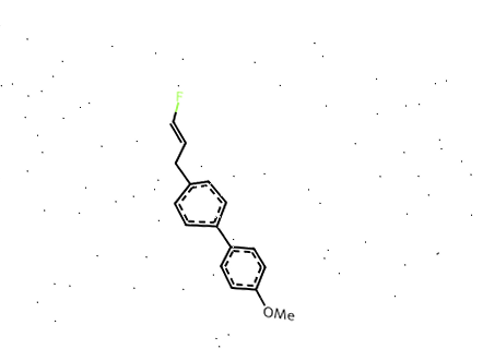 COc1ccc(-c2ccc(CC=CF)cc2)cc1